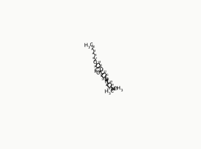 CCCCCCCCOc1ccc(OC(=O)c2ccc(/N=N/c3ccc(N(C)C)cc3)cc2)c(F)c1